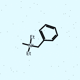 CC[N+](C)(CC)Cc1ccccc1